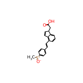 C[S+]([O-])c1ccc(C=Cc2cccc3c2C=CC3CC(=O)O)cc1